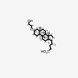 C[C@H](CCC(=O)O)[C@H]1CC[C@H]2[C@@H]3CC[C@@H]4C[C@@H](OCCO)CC[C@]4(C)[C@H]3CC[C@]12C